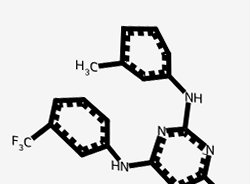 Cc1cccc(Nc2nc(Nc3cccc(C(F)(F)F)c3)nc(C(C)(C)C)n2)c1